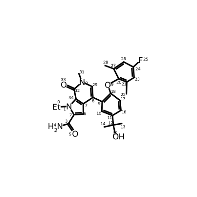 CCn1c(C(N)=O)cc2c(-c3cc(C(C)(C)O)ccc3Oc3c(C)cc(F)cc3C)cn(C)c(=O)c21